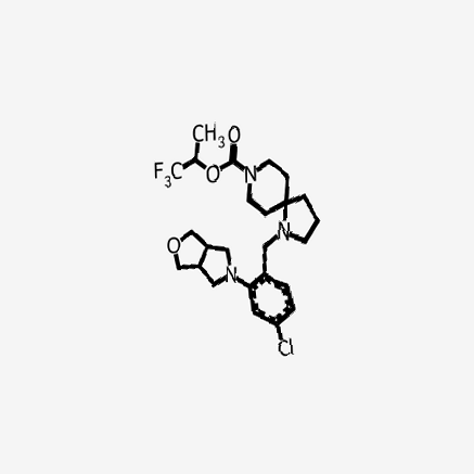 CC(OC(=O)N1CCC2(CCCN2Cc2ccc(Cl)cc2N2CC3COCC3C2)CC1)C(F)(F)F